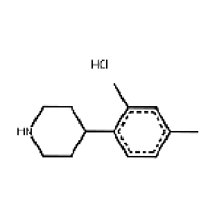 Cc1ccc(C2CCNCC2)c(C)c1.Cl